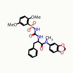 COc1ccc(OC)c(S(=O)(=O)NC(=O)NC(Cc2ccccc2)C(=O)N(C)c2ccc3c(c2)OCO3)c1